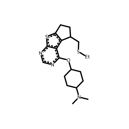 CCSCC1CCc2sc3ncnc(OC4CCC(N(C)C)CC4)c3c21